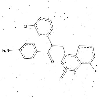 Nc1ccc(C(=O)N(Cc2cc(=O)[nH]c3c(F)cccc23)c2cccc(Cl)c2)cc1